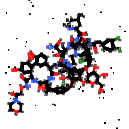 CN[C@H](CC(C)C)C(=O)N[C@H]1C(=O)N[C@@H](CC(N)=O)C(=O)N[C@H]2C(=O)N[C@H]3C(=O)N[C@H](C(=O)N[C@@H](C(=O)NOCC(=O)N4CCOCC4)c4cc(O)cc(O)c4-c4cc3ccc4O)[C@H](O)c3ccc(c(Cl)c3)Oc3cc2cc(c3O[C@@H]2O[C@H](CO)[C@@H](O)[C@H](O)[C@H]2O[C@H]2C[C@](C)(NCCn3ccc(NC(=O)Cc4ccc(Cl)c(Cl)c4)nc3=O)[C@H](O)[C@H](C)O2)Oc2ccc(cc2Cl)[C@H]1O